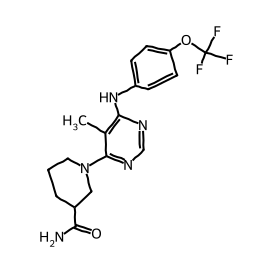 Cc1c(Nc2ccc(OC(F)(F)F)cc2)ncnc1N1CCCC(C(N)=O)C1